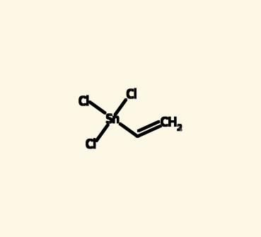 C=[CH][Sn]([Cl])([Cl])[Cl]